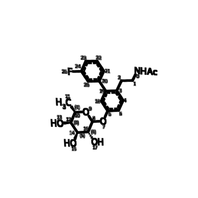 CC(=O)NCCc1ccc(OC2O[C@H](C)[C@H](O)[C@H](O)[C@H]2O)cc1-c1cccc(F)c1